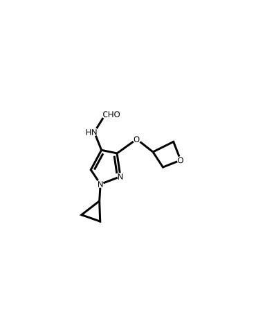 O=CNc1cn(C2CC2)nc1OC1COC1